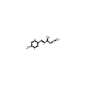 O=C(C=Cc1ccc(F)cc1)N=C=S